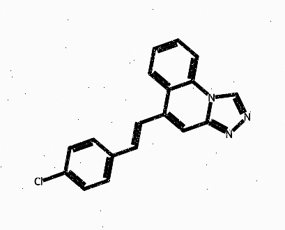 Clc1ccc(/C=C/c2cc3nncn3c3ccccc23)cc1